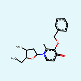 CC(=O)OCC1OC(n2ccc(=O)c(OCc3ccccc3)c2C)CC1OC(C)=O